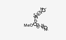 COc1cc(OCc2csc(N3CCN(c4ccc(C)cn4)CC3)n2)c2cc(-c3cn4nc(C)ccc4n3)oc2c1